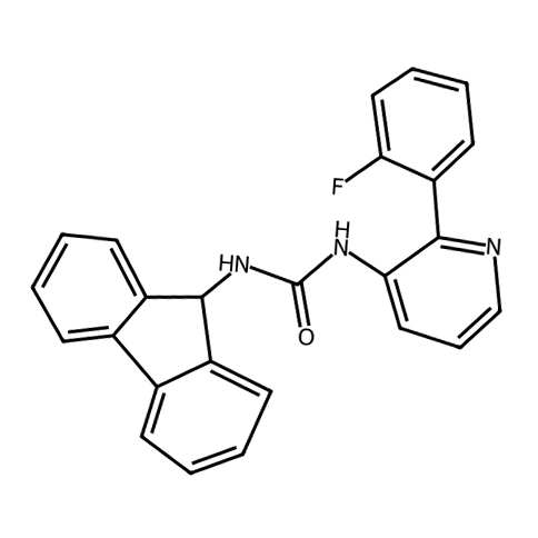 O=C(Nc1cccnc1-c1ccccc1F)NC1c2ccccc2-c2ccccc21